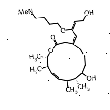 CNCCCCOC(/C=C1/CCCC(O)[C@H](C)[C@@H](C)/C=C\[C@@H](C)[C@H](C)OC(=O)C1)=C/CO